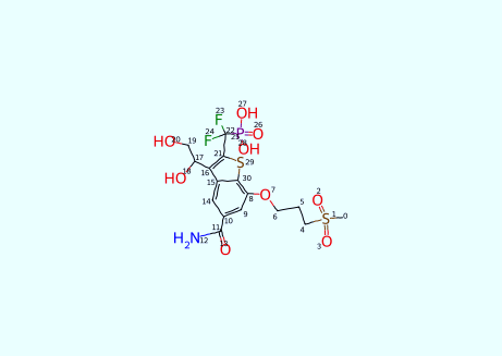 CS(=O)(=O)CCCOc1cc(C(N)=O)cc2c(C(O)CO)c(C(F)(F)P(=O)(O)O)sc12